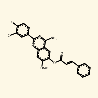 COc1cc2nc(-c3ccc(F)c(Cl)c3)nc(N)c2cc1OC(=O)C=Cc1ccccc1